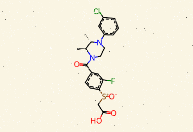 C[C@H]1[C@H](C)N(c2cccc(Cl)c2)CCN1C(=O)c1ccc([S+]([O-])CC(=O)O)c(F)c1